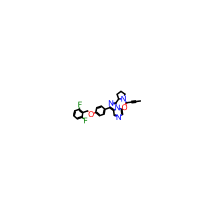 CC#CC(=O)N1CCCC1c1nc(-c2ccc(OCc3c(F)cccc3F)cc2)c2cnccn12